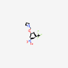 O=[N+]([O-])c1cc(OCN2CCC2)cc(C(F)(F)F)c1